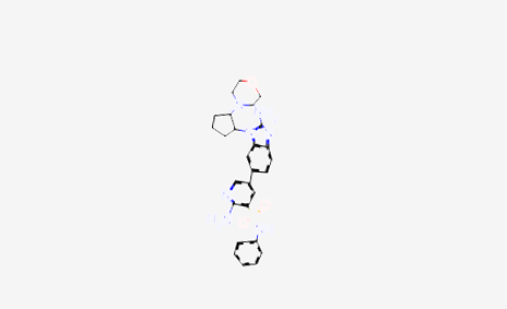 Nc1ncc(-c2ccc3nc(N)n(C4CCCC4N4CCOCC4)c3c2)cc1S(=O)(=O)Nc1ccccc1